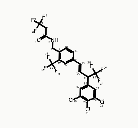 O=C(CC(F)(F)F)NCc1ccc(/C=C/C(c2cc(Cl)c(Cl)c(Cl)c2)C(F)(F)F)cc1C(F)(F)F